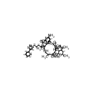 CC[C@H]1OC(=O)[C@](C)(F)C(=O)C[C@@H](O[C@@H]2O[C@H](C)CC(N(C)C)C2O)[C@](C)(OC)C[C@@H](C)CN[C@H](C)[C@H]2N(CCCCn3cc(-c4ccccn4)nn3)C(=O)O[C@]12n1ccc(N)nc1=O